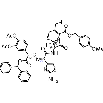 COc1ccc(COC(=O)C2=C(CI)CS[C@@H]3[C@H](NC(=O)/C(=N\O[C@H](C(=O)OC(c4ccccc4)c4ccccc4)c4ccc(OC(C)=O)c(OC(C)=O)c4)c4csc(N)n4)C(=O)N23)cc1